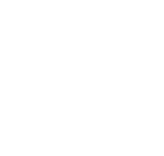 C#Cc1cscc1OCC1CC1